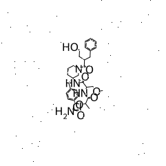 COCC(NC(=O)C(C)OC(N)=O)C(=O)N[C@@]1(Cc2ccc(Cl)cc2)CCCN(C(=O)C(CCO)Cc2ccccc2)C1